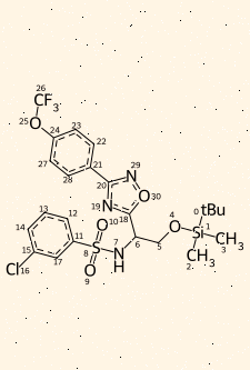 CC(C)(C)[Si](C)(C)OCC(NS(=O)(=O)c1cccc(Cl)c1)c1nc(-c2ccc(OC(F)(F)F)cc2)no1